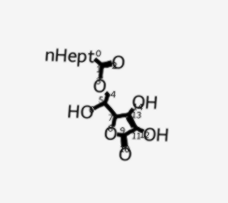 CCCCCCCC(=O)OCC(O)C1OC(=O)C(O)=C1O